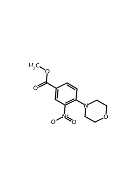 COC(=O)c1ccc(N2CCOCC2)c([N+](=O)[O-])c1